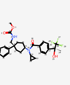 COC(=O)NC[C@]1(c2ccccc2)CC[C@H](N(C(=O)c2ccc([C@](C)(O)C(F)(F)F)cc2)C2CC2)CC1